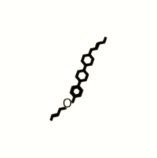 CC=CCCOCc1ccc(C2CCC(C3CCC(C/C=C/CC)CC3)CC2)cc1